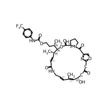 CC1=C\[C@@H](O)CC(=O)Cc2nc(co2)C(=O)N2CCC[C@@H]2C(=O)O[C@H]([C@H](C)CCOC(=O)Nc2ccc(C(F)(F)F)cc2)[C@H](C)/C=C/C(=O)NC\C=C\1